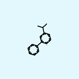 CC(C)c1cc[c]c(-c2ccccc2)c1